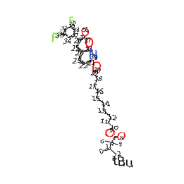 CC(CC(C)(C)C)C(C)(C)C(=O)OCCCCCCCCCCOc1ccc2cc(-c3cc(F)cc(F)c3)c(=O)oc2n1